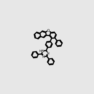 c1ccc(C2=NC(c3ccc(-c4c(-c5ccccc5)ccc5oc6cc7ccccc7cc6c45)cc3)NC(c3ccccc3)=N2)cc1